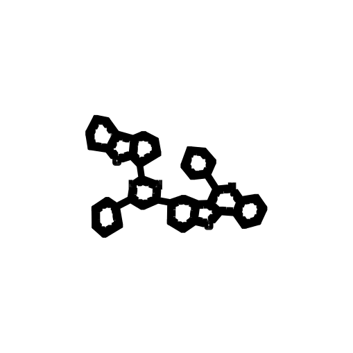 c1ccc(-c2cc(-c3ccc4oc5c6ccccc6nc(-c6ccccc6)c5c4c3)nc(-c3cccc4c3oc3ccccc34)n2)cc1